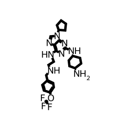 N[C@H]1CC[C@H](Nc2nc(NCCNCc3ccc(OC(F)(F)F)cc3)c3ncn(C4CCCC4)c3n2)CC1